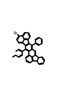 C/C=C(\C=C/CC)c1c2c(c(-c3ccccc3)c3cc4c5c(cccc5c13)C1C=CC=CC41)-c1cccc3c(Br)ccc-2c13